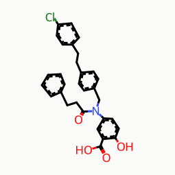 O=C(O)c1cc(N(Cc2ccc(CCc3ccc(Cl)cc3)cc2)C(=O)CCc2ccccc2)ccc1O